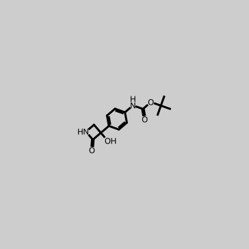 CC(C)(C)OC(=O)Nc1ccc(C2(O)CNC2=O)cc1